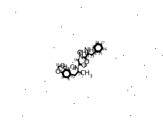 CC(Cc1ccc2c(c1)OCO2)N(C)C(=O)CN(C)C(=O)C(N)Cc1ccccc1